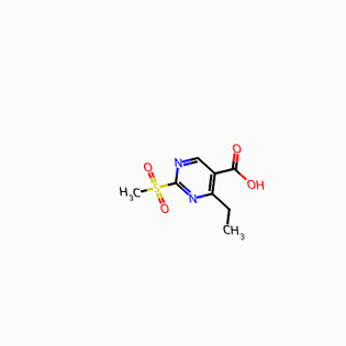 CCc1nc(S(C)(=O)=O)ncc1C(=O)O